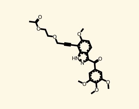 COc1cc(C(=O)c2n[nH]c3c(C#CCOCCOC(C)=O)c(OC)ccc23)cc(OC)c1OC